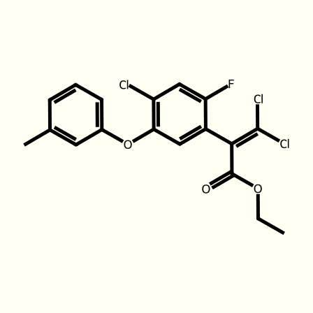 CCOC(=O)C(=C(Cl)Cl)c1cc(Oc2cccc(C)c2)c(Cl)cc1F